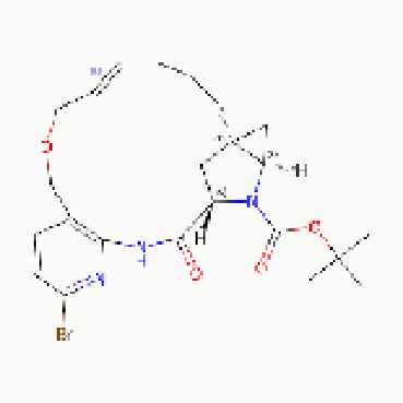 CC(C)(C)OC(=O)N1[C@H]2C[C@@]3(CCC/C=C/COCc4ccc(Br)nc4NC2=O)C[C@@H]13